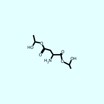 CC(O)OC(=O)CC(N)C(=O)OC(C)O